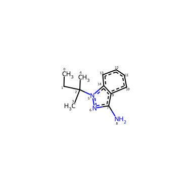 CCC(C)(C)n1nc(N)c2ccccc21